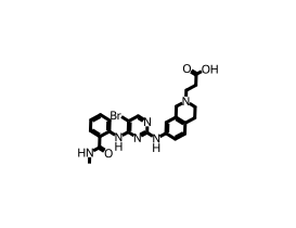 CNC(=O)c1ccccc1Nc1nc(Nc2ccc3c(c2)CN(CCC(=O)O)CC3)ncc1Br